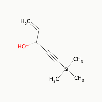 C=C[C@@H](O)C#C[Si](C)(C)C